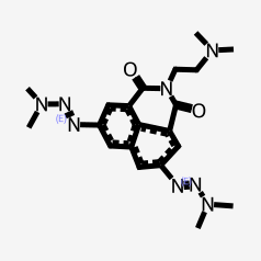 CN(C)CCN1C(=O)c2cc(/N=N/N(C)C)cc3cc(/N=N/N(C)C)cc(c23)C1=O